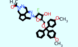 COc1ccc(C(OC[C@H]2O[C@@H](N3C=C4CCC5=C4C(=N3)C=NN(C(C)=O)C5)[C@@H](F)[C@@H]2O)(c2ccccc2)c2ccc(OC)cc2)cc1